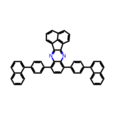 c1ccc2c(-c3ccc(-c4ccc(-c5ccc(-c6cccc7ccccc67)cc5)c5nc6c(nc45)-c4cccc5cccc-6c45)cc3)cccc2c1